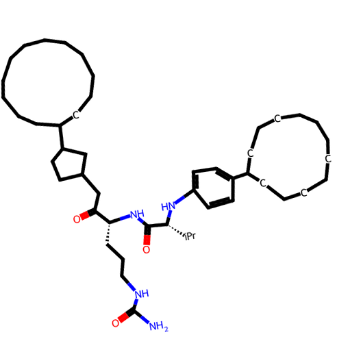 CC(C)[C@@H](Nc1ccc(C2CCCCCCCCCCC2)cc1)C(=O)N[C@H](CCCNC(N)=O)C(=O)CC1CCC(C2CCCCCCCCCCCC2)C1